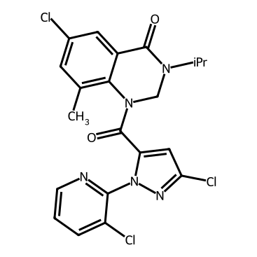 Cc1cc(Cl)cc2c1N(C(=O)c1cc(Cl)nn1-c1ncccc1Cl)CN(C(C)C)C2=O